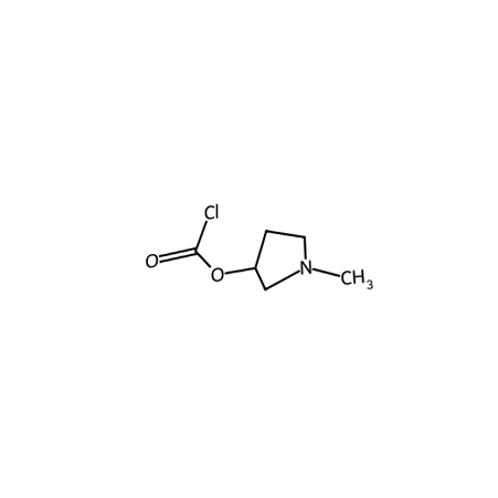 CN1CCC(OC(=O)Cl)C1